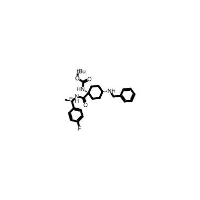 C[C@@H](NC(=O)[C@]1(NC(=O)OC(C)(C)C)CC[C@@H](NCc2ccccc2)CC1)c1ccc(F)cc1